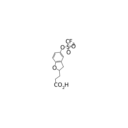 O=C(O)CCC1Cc2cc(OS(=O)(=O)C(F)(F)F)ccc2O1